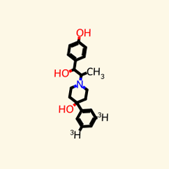 [3H]c1cc([3H])cc(C2(O)CCN(C(C)C(O)c3ccc(O)cc3)CC2)c1